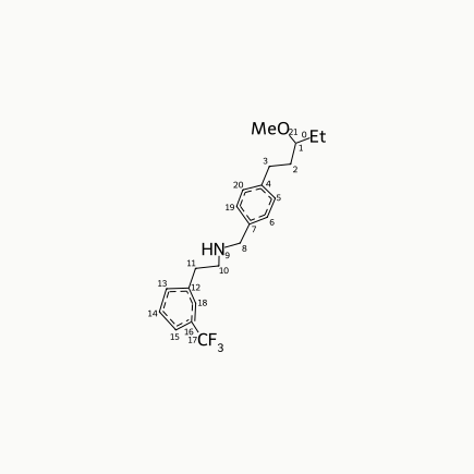 CCC(CCc1ccc(CNCCc2cccc(C(F)(F)F)c2)cc1)OC